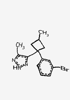 Cc1n[nH]nc1C1(c2cccc(Br)c2)CC(C)C1